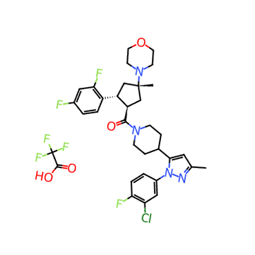 Cc1cc(C2CCN(C(=O)[C@@H]3C[C@@](C)(N4CCOCC4)C[C@H]3c3ccc(F)cc3F)CC2)n(-c2ccc(F)c(Cl)c2)n1.O=C(O)C(F)(F)F